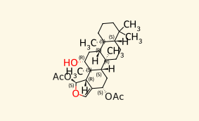 CC(=O)O[C@@H]1OC=C2[C@@H](OC(C)=O)C[C@H]3[C@]4(C)CC[C@H]5C(C)(C)CCC[C@]5(C)[C@H]4C[C@@H](O)[C@]3(C)[C@H]21